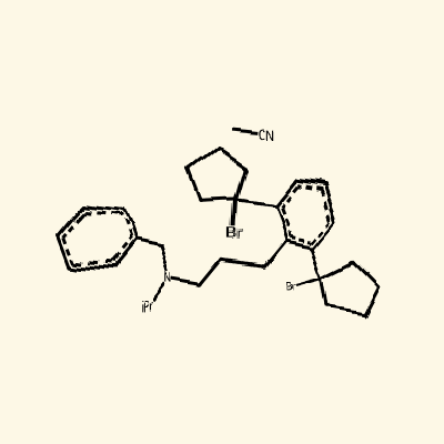 CC#N.CC(C)N(CCCc1c(C2(Br)CCCC2)cccc1C1(Br)CCCC1)Cc1ccccc1